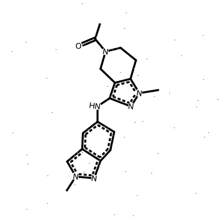 CC(=O)N1CCc2c(c(Nc3ccc4nn(C)cc4c3)nn2C)C1